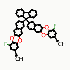 C#Cc1cc(F)c2c(c1)Oc1cc3cc(C4(c5ccc6cc7c(cc6c5)Oc5c(F)cc(C#C)cc5O7)c5ccccc5-c5ccccc54)ccc3cc1O2